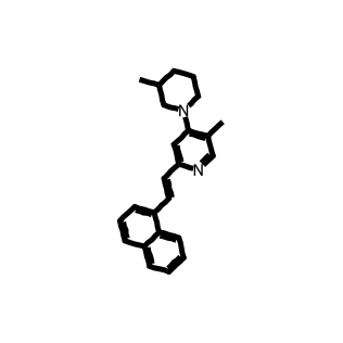 Cc1cnc(/C=C/c2cccc3ccccc23)cc1N1CCCC(C)C1